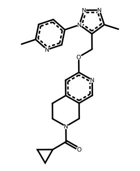 Cc1ccc(-n2nnc(C)c2COc2cc3c(cn2)CN(C(=O)C2CC2)CC3)cn1